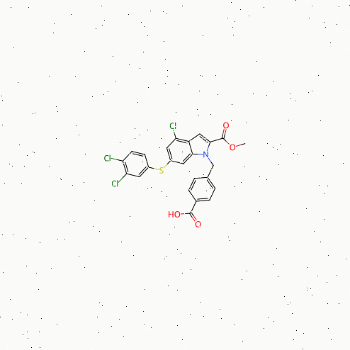 COC(=O)c1cc2c(Cl)cc(Sc3ccc(Cl)c(Cl)c3)cc2n1Cc1ccc(C(=O)O)cc1